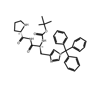 CC(C)(C)OC(=O)N[C@@H](Cc1cn(C(c2ccccc2)(c2ccccc2)c2ccccc2)cn1)C(=O)NC(=O)[C@@H]1CCCN1